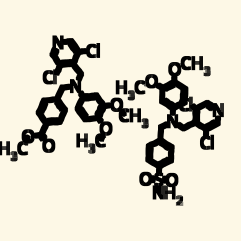 COC(=O)c1ccc(CN(Cc2c(Cl)cncc2Cl)c2ccc(OC)c(OC)c2)cc1.COc1ccc(N(Cc2ccc(S(N)(=O)=O)cc2)Cc2c(Cl)cncc2Cl)cc1OC